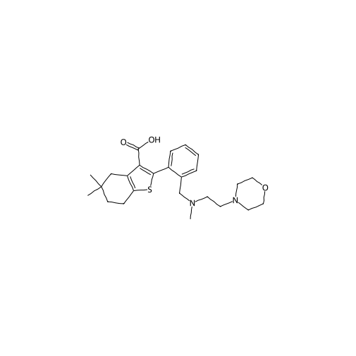 CN(CCN1CCOCC1)Cc1ccccc1-c1sc2c(c1C(=O)O)CC(C)(C)CC2